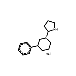 Cl.c1ccc(C2CCCN(C3CCCN3)C2)cc1